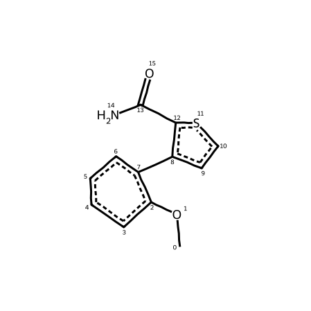 COc1ccccc1-c1ccsc1C(N)=O